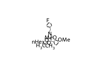 CCCCCCC(C)(C)C(=O)OC(c1cccc(OC)c1OC)C1CCN(CCc2ccc(F)cc2)CC1